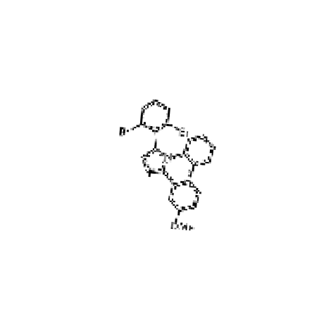 COc1ccc2c3ccccc3n3c(-c4c(Br)cccc4Br)cnc3c2c1